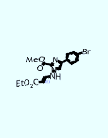 CCOC(=O)/C=C/Nn1cc(-c2ccc(Br)cc2)nc1C(=O)OC